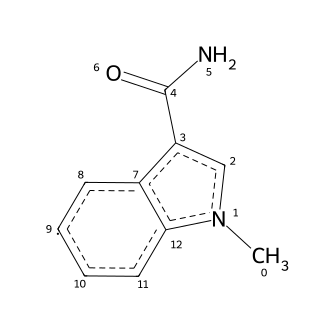 Cn1cc(C(N)=O)c2c[c]ccc21